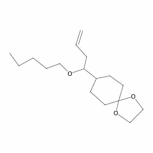 C=CCC(OCCCCC)C1CCC2(CC1)OCCO2